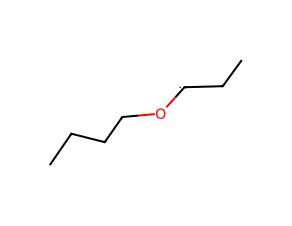 CC[CH]OCCCC